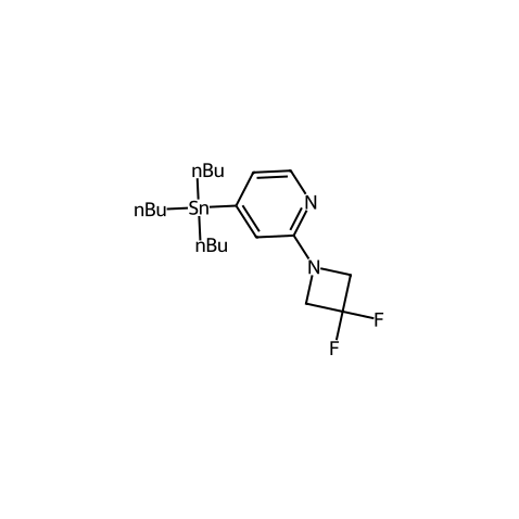 CCC[CH2][Sn]([CH2]CCC)([CH2]CCC)[c]1ccnc(N2CC(F)(F)C2)c1